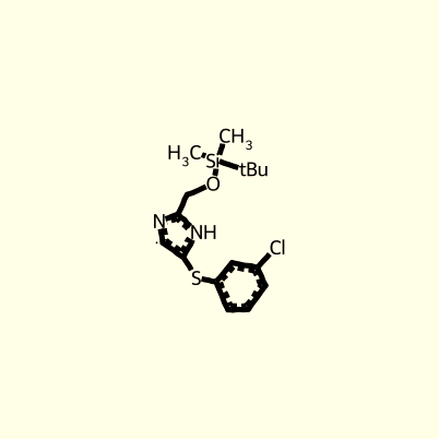 CC(C)(C)[Si](C)(C)OCc1n[c]c(Sc2cccc(Cl)c2)[nH]1